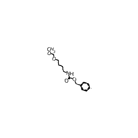 COCOCCCCNC(=O)OCc1cc[c]cc1